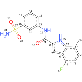 Cc1ccc(F)c2cc(C(=O)Nc3cccc(S(N)(=O)=O)c3)[nH]c12